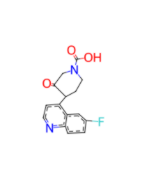 O=C1CN(C(=O)O)CCC1c1ccnc2ccc(F)cc12